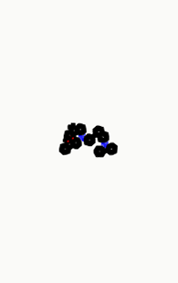 CC1(C)c2ccccc2-c2ccc(N(c3cccc(-c4cccc5ccc(-n6c7ccccc7c7ccccc76)cc45)c3)c3cccc4c3-c3ccccc3C4(C)C)cc21